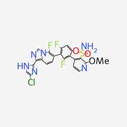 COc1nccc(-c2ccc(F)c(-c3ccc4c(-c5nc(Cl)c[nH]5)ncn4c3F)c2F)c1S(N)(=O)=O